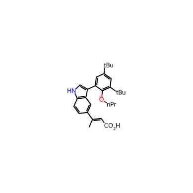 CCCOc1c(-c2c[nH]c3ccc(C(C)=CC(=O)O)cc23)cc(C(C)(C)C)cc1C(C)(C)C